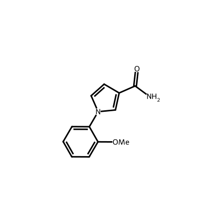 COc1ccccc1-n1ccc(C(N)=O)c1